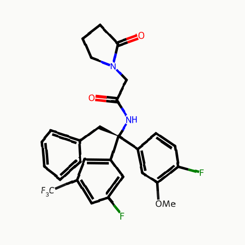 COc1cc([C@@](Cc2ccccc2)(NC(=O)CN2CCCC2=O)c2cc(F)cc(C(F)(F)F)c2)ccc1F